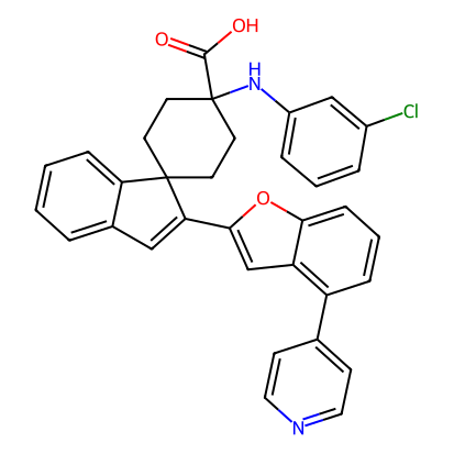 O=C(O)C1(Nc2cccc(Cl)c2)CCC2(CC1)C(c1cc3c(-c4ccncc4)cccc3o1)=Cc1ccccc12